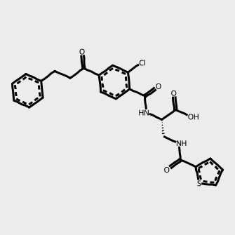 O=C(CCc1ccccc1)c1ccc(C(=O)N[C@@H](CNC(=O)c2cccs2)C(=O)O)c(Cl)c1